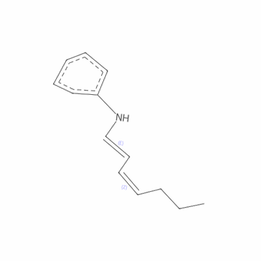 CCC/C=C\C=C\Nc1ccccc1